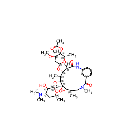 CO[C@]1(C)C[C@H](O[C@H]2[C@H](C)[C@@H](O[C@@H]3O[C@H](C)C[C@H](N(C)C)[C@H]3O)[C@](C)(O)C[C@@H](C)CN(C)C(=O)c3cccc(c3)NC(=O)[C@@H]2C)O[C@@H](C)[C@@H]1OC(C)=O